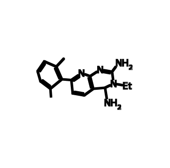 CCN1C(N)=Nc2nc(-c3c(C)cccc3C)ccc2C1N